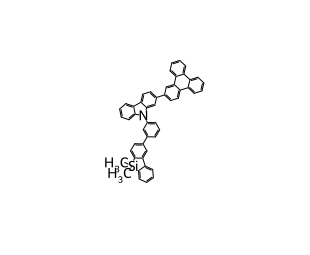 C[Si]1(C)c2ccccc2-c2cc(-c3cccc(-n4c5ccccc5c5ccc(-c6ccc7c8ccccc8c8ccccc8c7c6)cc54)c3)ccc21